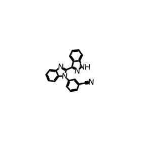 N#Cc1cccc(-n2c(-c3n[nH]c4ccccc34)nc3ccccc32)c1